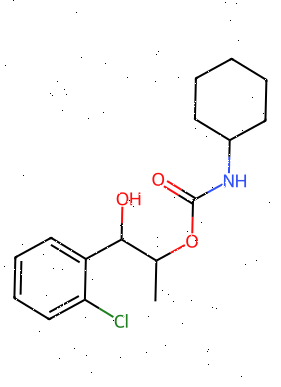 CC(OC(=O)NC1CCCCC1)C(O)c1ccccc1Cl